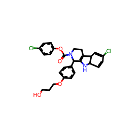 O=C(Oc1ccc(Cl)cc1)N1CCC2=C(NC3C=CC(Cl)=CC23)C1c1ccc(OCCCO)cc1